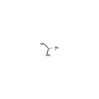 CCCCN(CCCC)[C@@H](C)CC